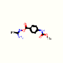 CC(C)/C(N)=N/OC(=O)c1ccc(NC(=O)OC(C)(C)C)cc1